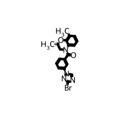 Cc1cccc2c1O[C@@H](C)CN2C(=O)c1cccc(-n2cnc(Br)n2)c1